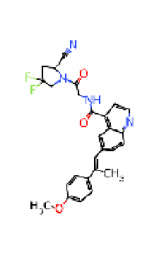 COc1ccc(/C(C)=C/c2ccc3nccc(C(=O)NCC(=O)N4CC(F)(F)C[C@H]4C#N)c3c2)cc1